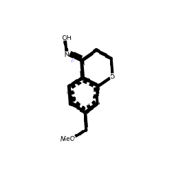 COCc1ccc2c(c1)OCC/C2=N\O